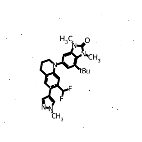 Cn1cc(-c2cc3c(cc2C(F)F)N(c2cc(C(C)(C)C)c4c(c2)n(C)c(=O)n4C)CCC3)cn1